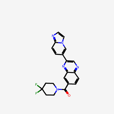 O=C(c1ccc2ncc(-c3ccc4nccn4c3)nc2c1)N1CCC(F)(F)CC1